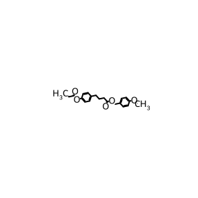 CCC(=O)Oc1ccc(CCCC(=O)OCc2ccc(OC)cc2)cc1